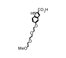 COCCOCCOCCOc1ccc2[nH]c(C(=O)O)cc2c1